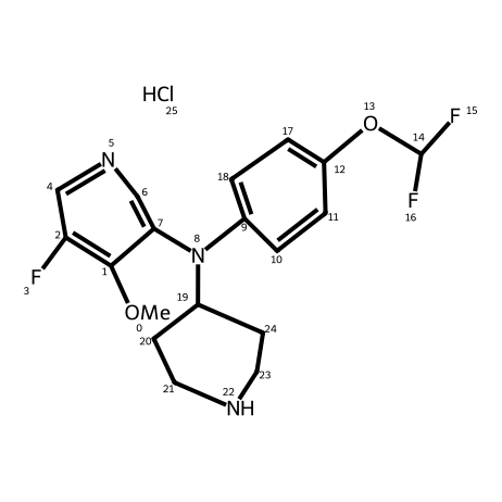 COc1c(F)cncc1N(c1ccc(OC(F)F)cc1)C1CCNCC1.Cl